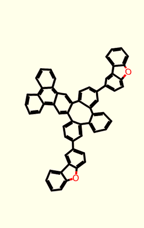 c1ccc2c(c1)-c1cc(-c3ccc4oc5ccccc5c4c3)ccc1-c1cc3c4ccccc4c4ccccc4c3cc1-c1ccc(-c3ccc4oc5ccccc5c4c3)cc1-2